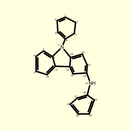 C1=CCCC(n2c3ccccc3c3cc(Nc4ccccc4)ccc32)=C1